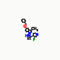 CCC(Nn1cc(C)c2cc(OCc3ccccc3)ccc21)c1ccncc1F